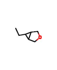 CCC1C2COCC12